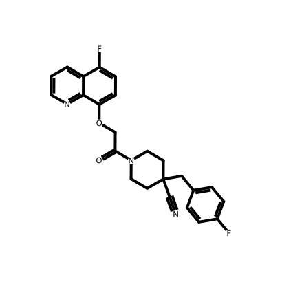 N#CC1(Cc2ccc(F)cc2)CCN(C(=O)COc2ccc(F)c3cccnc23)CC1